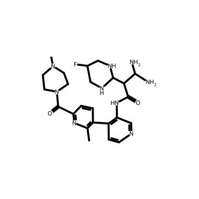 Cc1nc(C(=O)N2CCN(C)CC2)ccc1-c1ccncc1NC(=O)C(C(N)N)C1NCC(F)CN1